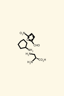 NC1CCCCC1.NC[C@H](N)C(=O)O.O=Cc1ccc([N+](=O)[O-])o1